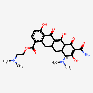 CN(C)CCOC(=O)c1ccc(O)c2c1CC1CC3C(C(=O)C(C(N)=O)=C(O)[C@H]3N(C)C)C(O)=C1C2=O